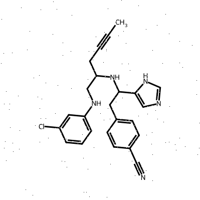 CC#CCC(CNc1cccc(Cl)c1)NC(Cc1ccc(C#N)cc1)c1cnc[nH]1